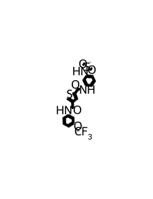 CS(=O)(=O)Nc1cccc(NC(=O)c2cc(C(=O)Nc3cccc(OC(F)(F)F)c3)cs2)c1